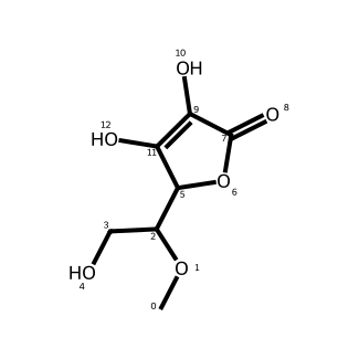 COC(CO)C1OC(=O)C(O)=C1O